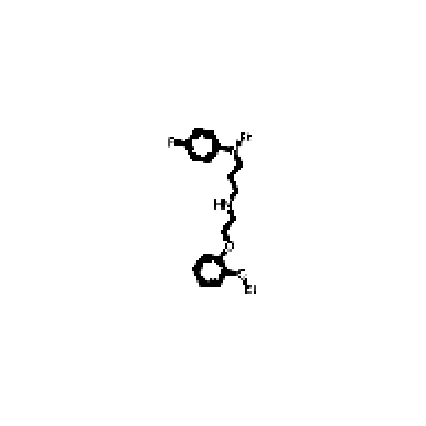 CCOc1ccccc1OCCNCCCN(CC)c1ccc(F)cc1